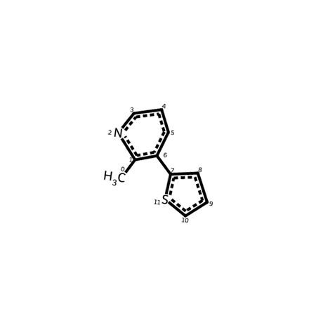 Cc1ncccc1-c1cccs1